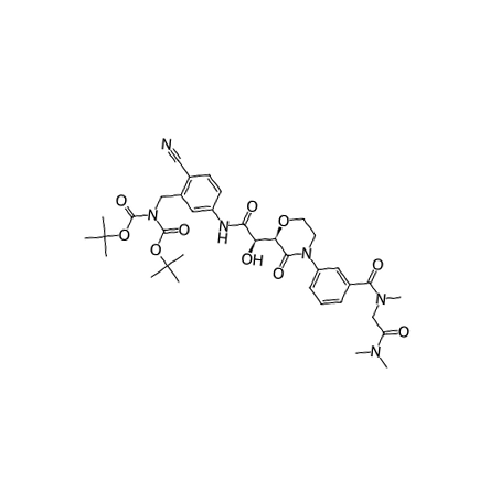 CN(C)C(=O)CN(C)C(=O)c1cccc(N2CCO[C@H]([C@@H](O)C(=O)Nc3ccc(C#N)c(CN(C(=O)OC(C)(C)C)C(=O)OC(C)(C)C)c3)C2=O)c1